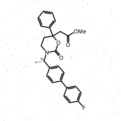 COC(=O)CC1(c2ccccc2)CCN([C@@H](C)c2ccc(-c3ccc(F)cc3)cc2)C(=O)O1